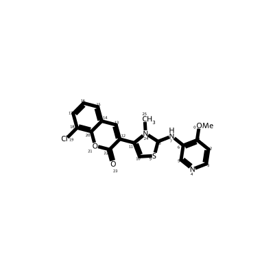 COc1ccncc1NC1SC=C(c2cc3cccc(Cl)c3oc2=O)N1C